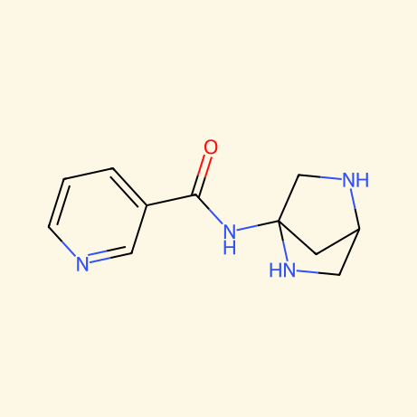 O=C(NC12CNC(CN1)C2)c1cccnc1